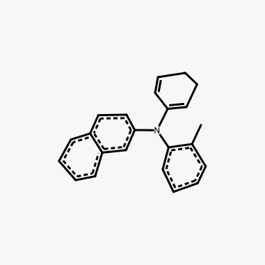 Cc1ccccc1N(C1=CCCC=C1)c1ccc2ccccc2c1